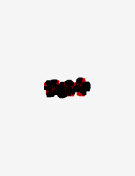 c1ccc([Si](c2ccccc2)(c2ccccc2)c2ccc(-n3c4ccccc4c4c(-n5c6ccccc6c6c(-c7ccc8c(c7)-c7ccccc7[Si]8(c7ccccc7)c7ccccc7)cccc65)cccc43)cc2)cc1